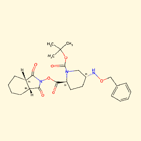 CC(C)(C)OC(=O)N1C[C@H](NOCc2ccccc2)CC[C@H]1C(=O)ON1C(=O)[C@H]2CCCC[C@H]2C1=O